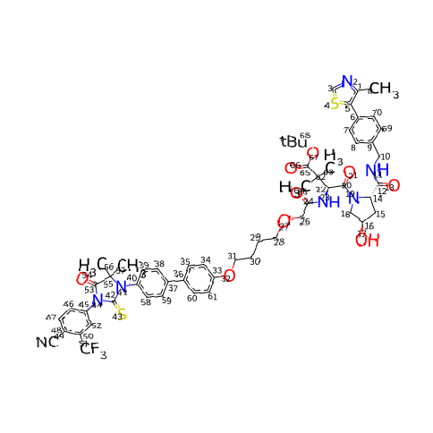 Cc1ncsc1-c1ccc(CNC(=O)[C@@H]2C[C@@H](O)CN2C(=O)[C@@H](NC(=O)COCCCCOc2ccc(-c3ccc(N4C(=S)N(c5ccc(C#N)c(C(F)(F)F)c5)C(=O)C4(C)C)cc3)cc2)C(C)(C)C(=O)OC(C)(C)C)cc1